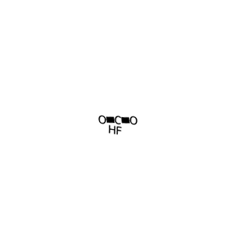 F.O=C=O